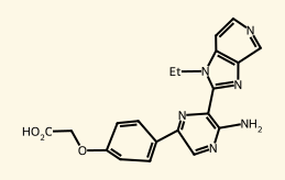 CCn1c(-c2nc(-c3ccc(OCC(=O)O)cc3)cnc2N)nc2cnccc21